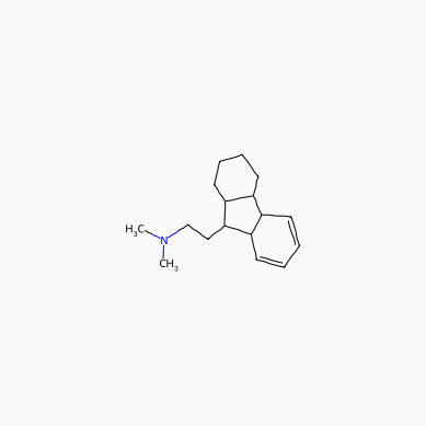 CN(C)CCC1C2C=CC=CC2C2CCCCC21